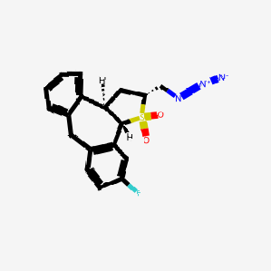 [N-]=[N+]=NC[C@H]1C[C@@H]2c3ccccc3Cc3ccc(F)cc3[C@H]2S1(=O)=O